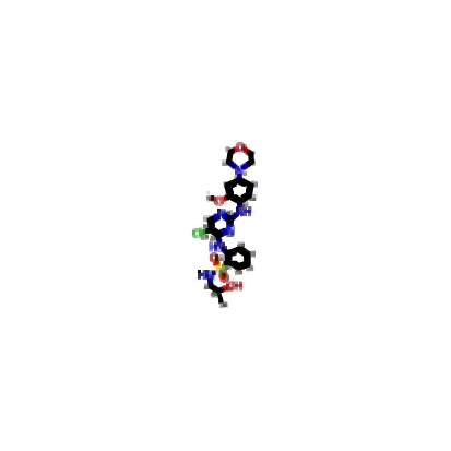 COc1cc(N2CCOCC2)ccc1Nc1ncc(Cl)c(Nc2ccccc2S(=O)(=O)NC[C@H](C)O)n1